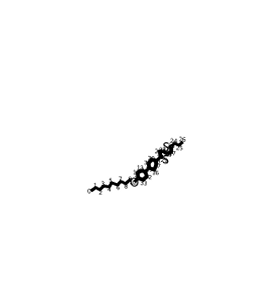 CCCCCCCCCCOc1ccc(-c2ccc(-c3cc4sc(CCC)cc4s3)cc2)cc1